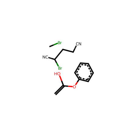 C=C(O)Oc1ccccc1.CBr.N#CCCC(Br)C#N